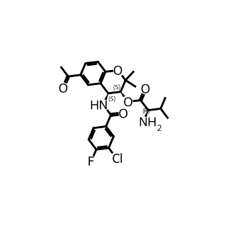 CC(=O)c1ccc2c(c1)[C@H](NC(=O)c1ccc(F)c(Cl)c1)[C@H](OC(=O)[C@H](N)C(C)C)C(C)(C)O2